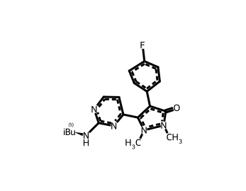 CC[C@H](C)Nc1nccc(-c2c(-c3ccc(F)cc3)c(=O)n(C)n2C)n1